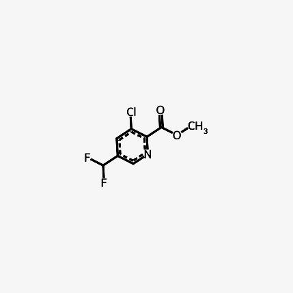 COC(=O)c1ncc(C(F)F)cc1Cl